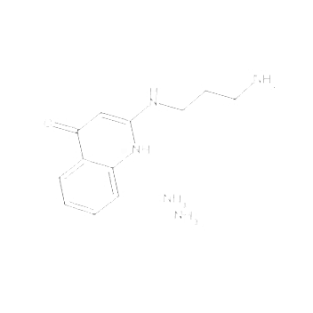 N.N.NCCCNc1cc(=O)c2ccccc2[nH]1